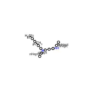 CCCCCCCC1(CCCCCCC)C2=CCCCC2C2=C1CC(Nc1ccc(C3=CC=C(C4C=CC(N(C5=CCC(C6=CC=C(C(C)(C7=CC=C(C8=CCC(C(C)(CC)CC)CC8)CC7)C(C)C)CC6)C=C5)C5C=CC6C7CCCC=C7C(CCCCCCC)(CCCCCCC)C6C5)=CC4)CC3)cc1)C=C2